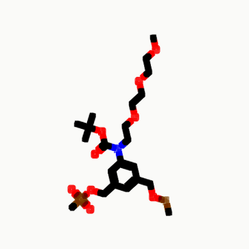 COCCOCCOCCN(C(=O)OC(C)(C)C)c1cc(COSC)cc(COS(C)(=O)=O)c1